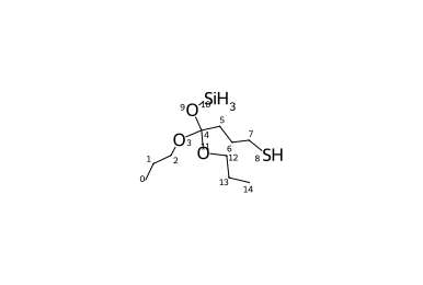 CCCOC(CCCS)(O[SiH3])OCCC